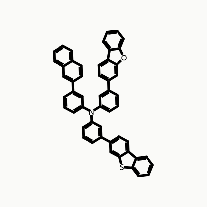 c1cc(-c2ccc3ccccc3c2)cc(N(c2cccc(-c3ccc4c(c3)oc3ccccc34)c2)c2cccc(-c3ccc4c(c3)sc3ccccc34)c2)c1